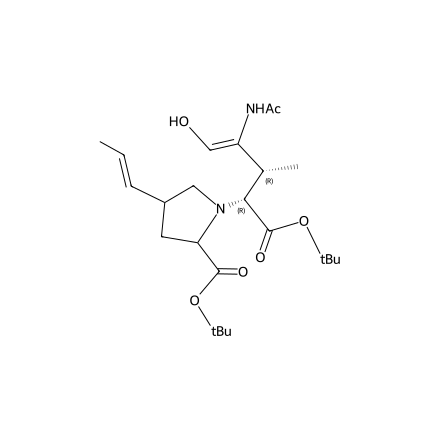 CC=CC1CC(C(=O)OC(C)(C)C)N([C@@H](C(=O)OC(C)(C)C)[C@@H](C)C(=CO)NC(C)=O)C1